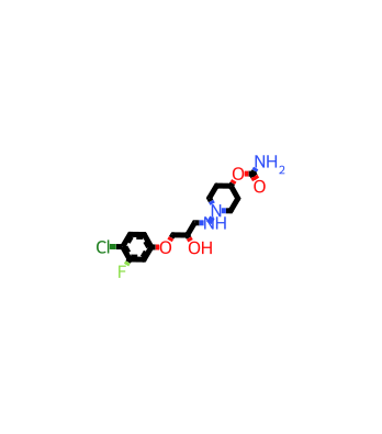 NC(=O)OC1CCN(NCC(O)COc2ccc(Cl)c(F)c2)CC1